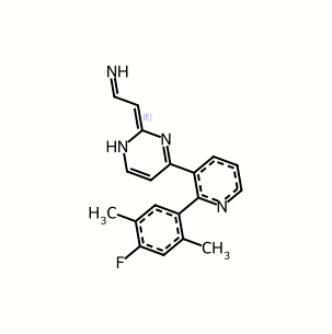 Cc1cc(-c2ncccc2C2=N/C(=C/C=N)NC=C2)c(C)cc1F